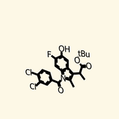 Cc1c(C(C)C(=O)OC(C)(C)C)c2cc(O)c(F)cc2n1C(=O)c1ccc(Cl)c(Cl)c1